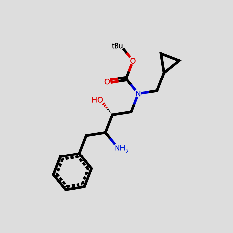 CC(C)(C)OC(=O)N(CC1CC1)C[C@@H](O)C(N)Cc1ccccc1